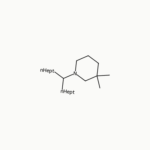 CCCCCCCC(CCCCCCC)N1CCCC(C)(C)C1